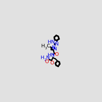 Cc1cc(C(=O)NC(Cc2ccccc2)C(=O)C(N)=O)nn1-c1nc2ccccc2[nH]1